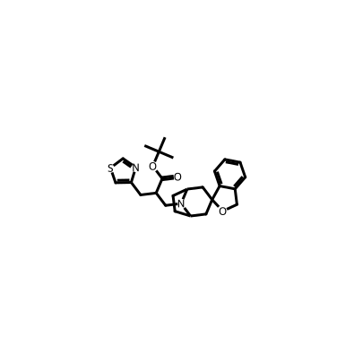 CC(C)(C)OC(=O)C(Cc1cscn1)CN1C2CCC1CC1(C2)OCc2ccccc21